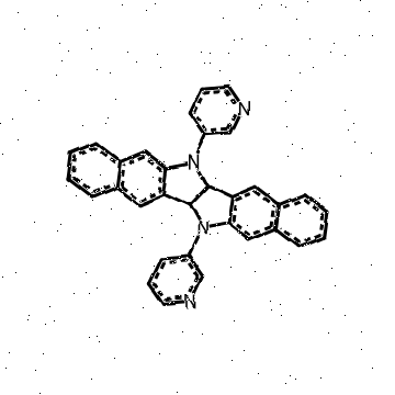 c1cncc(N2c3cc4ccccc4cc3C3C2c2cc4ccccc4cc2N3c2cccnc2)c1